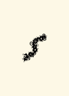 CCN(C(=O)OC(C)(C)C)c1ccc(Oc2ccc3c(c2)cc(C(=O)N2CCN(Cc4ccc5c(c4)OCO5)CC2)n3C)nc1